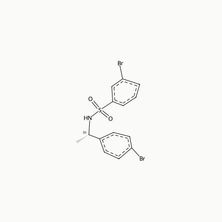 C[C@H](NS(=O)(=O)c1cccc(Br)c1)c1ccc(Br)cc1